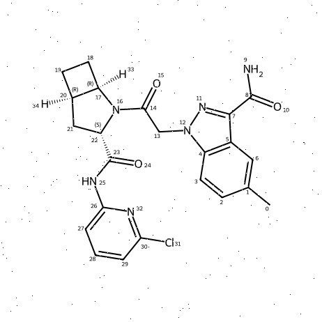 Cc1ccc2c(c1)c(C(N)=O)nn2CC(=O)N1[C@@H]2CC[C@@H]2C[C@H]1C(=O)Nc1cccc(Cl)n1